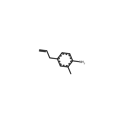 C=CCc1ccc(N)c(C)c1